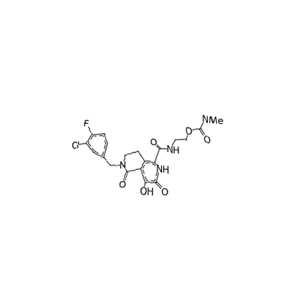 CNC(=O)OCCNC(=O)c1[nH]c(=O)c(O)c2c1CCN(Cc1ccc(F)c(Cl)c1)C2=O